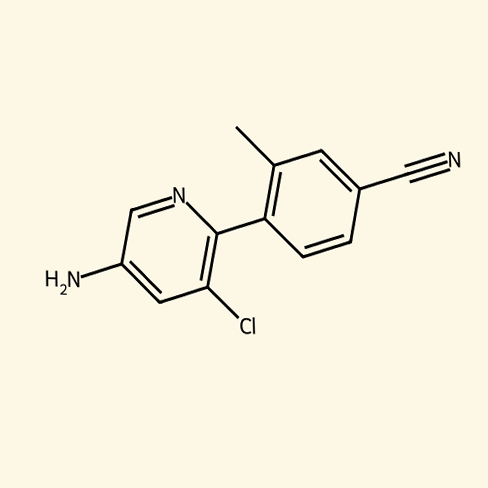 Cc1cc(C#N)ccc1-c1ncc(N)cc1Cl